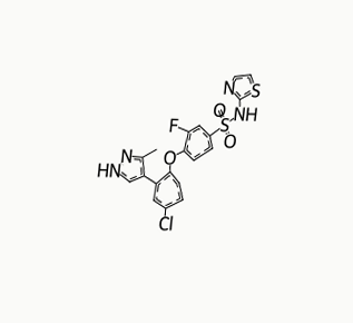 Cc1n[nH]cc1-c1cc(Cl)ccc1Oc1ccc(S(=O)(=O)Nc2nccs2)cc1F